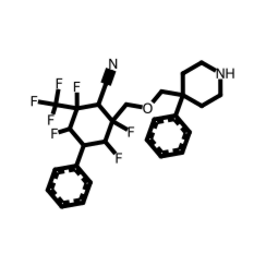 N#CC1C(F)(COCC2(c3ccccc3)CCNCC2)C(F)C(c2ccccc2)C(F)C1(F)C(F)(F)F